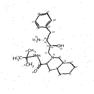 CC(C)(C)NC(=O)C1CC2CCCCC2CN1C[C@H](O)[C@H](N)Cc1ccccc1